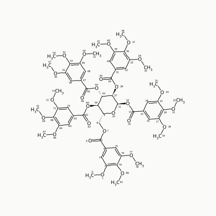 COc1cc(C(=O)OC[C@H]2O[C@H](OC(=O)c3cc(OC)c(OC)c(OC)c3)[C@H](OC(=O)c3cc(OC)c(OC)c(OC)c3)[C@@H](OC(=O)c3cc(OC)c(OC)c(OC)c3)[C@@H]2OC(=O)c2cc(OC)c(OC)c(OC)c2)cc(OC)c1OC